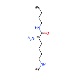 CC(C)CCCNC(=O)[C@@H](N)CCCCNC(C)C